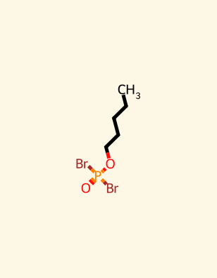 CCCCCOP(=O)(Br)Br